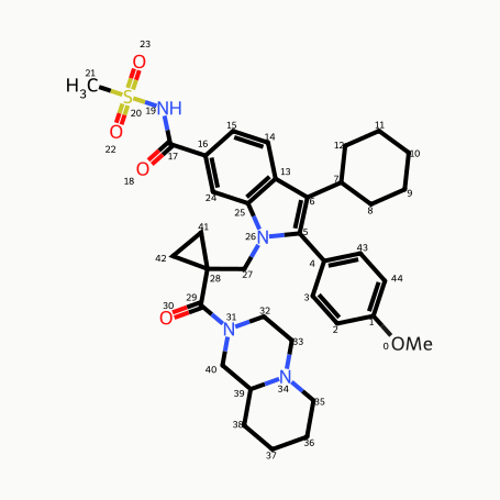 COc1ccc(-c2c(C3CCCCC3)c3ccc(C(=O)NS(C)(=O)=O)cc3n2CC2(C(=O)N3CCN4CCCCC4C3)CC2)cc1